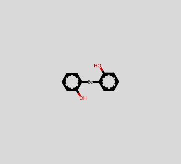 Oc1cccc[c]1[Be][c]1ccccc1O